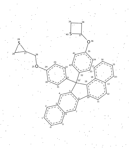 c1ccc2cc3c(cc2c1)-c1ccc2ccccc2c1C3(c1ccc(OCC2CS2)cc1)c1ccc(OC2CCS2)cc1